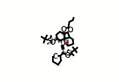 CCCCO[C@@]12CC[C@H](O[Si](C)(C)C(C)(C)C)[C@@H](C#C[C@H](O[Si](C)(C)C(C)(C)C)C3CCCCC3)[C@@H]1C(CCCC)C2=O